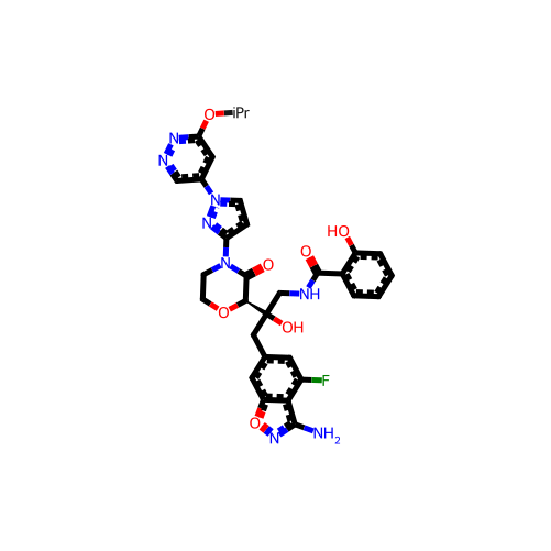 CC(C)Oc1cc(-n2ccc(N3CCO[C@H](C(O)(CNC(=O)c4ccccc4O)Cc4cc(F)c5c(N)noc5c4)C3=O)n2)cnn1